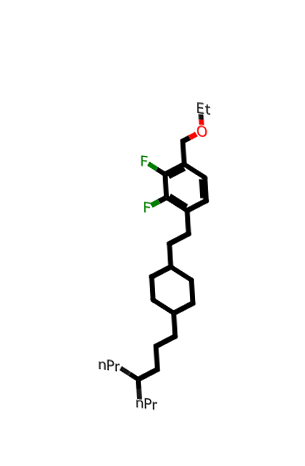 CCCC(CCC)CCCC1CCC(CCc2ccc(COCC)c(F)c2F)CC1